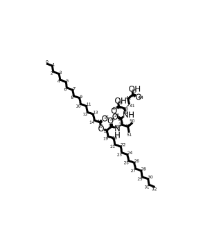 CCCCCCCCCCCCCCCC(=O)OC(CCCCCCCCCCCCCC)C(=O)N[C@H](C(=O)N[C@@H](CCC(=O)O)C(=O)O)C(C)C